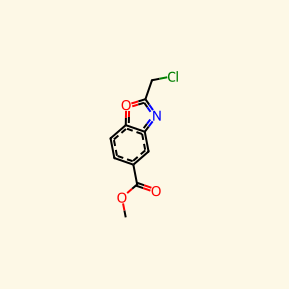 COC(=O)c1ccc2oc(CCl)nc2c1